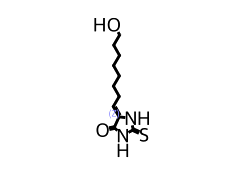 O=C1NC(=S)N/C1=C\CCCCCCCO